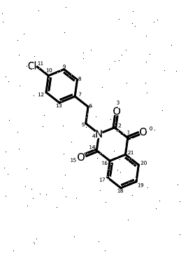 O=C1C(=O)N(CCc2ccc(Cl)cc2)C(=O)c2ccccc21